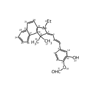 CCN1/C(=C/C=C/c2ccc(OC=O)c(O)c2)C(C)(C)c2c1ccc1ccccc21